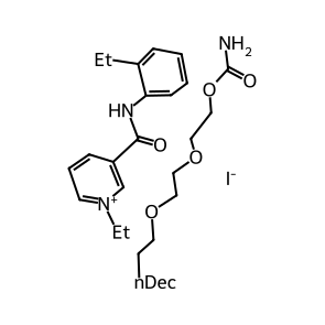 CCCCCCCCCCCCOCCOCCOC(N)=O.CCc1ccccc1NC(=O)c1ccc[n+](CC)c1.[I-]